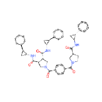 O=C(N[C@H]1C[C@@H]1c1ccccc1)[C@H]1CCN(C(=O)c2ccc(C(=O)N3C[C@@H](C(=O)N[C@@H]4C[C@H]4c4ccccc4)[C@H](C(=O)N[C@@H]4C[C@H]4c4ccccc4)C3)cc2)C1